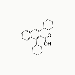 O=C(O)c1c(C2CCCCC2)cc2ccccc2c1C1CCCCC1